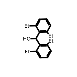 CCc1cccc(CC)c1C(O)c1c(CC)cccc1CC